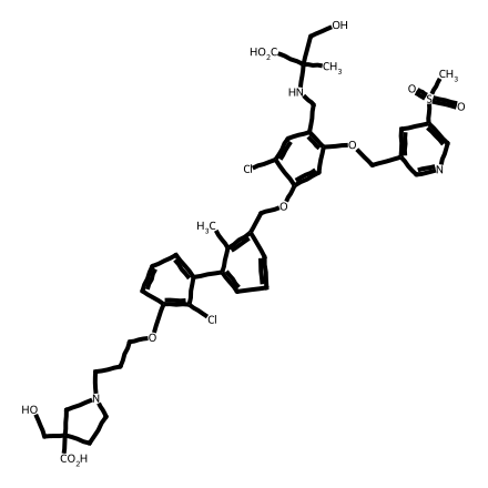 Cc1c(COc2cc(OCc3cncc(S(C)(=O)=O)c3)c(CNC(C)(CO)C(=O)O)cc2Cl)cccc1-c1cccc(OCCCN2CCC(CO)(C(=O)O)C2)c1Cl